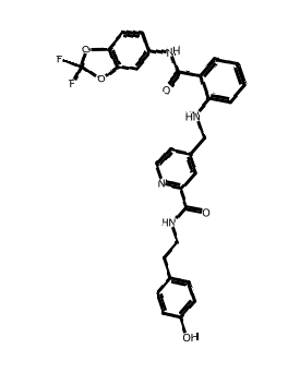 O=C(NCCc1ccc(O)cc1)c1cc(CNc2ccccc2C(=O)Nc2ccc3c(c2)OC(F)(F)O3)ccn1